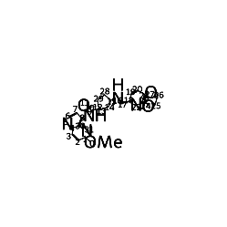 COc1ccc2nccc(NC(=O)[C@H]3CC[C@H](NCc4ccc5c(n4)OCCO5)CC3)c2n1